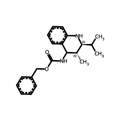 CC(C)[C@@H]1Nc2ccccc2C(NC(=O)OCc2ccccc2)[C@H]1C